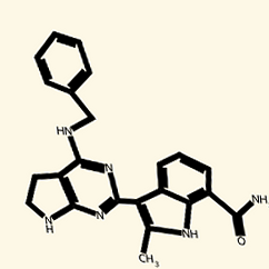 Cc1[nH]c2c(C(N)=O)cccc2c1-c1nc2c(c(NCc3ccccc3)n1)CCN2